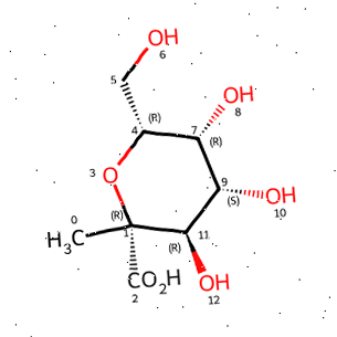 C[C@@]1(C(=O)O)O[C@H](CO)[C@H](O)[C@H](O)[C@H]1O